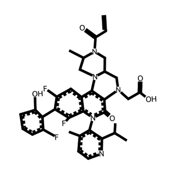 C=CC(=O)N1CC2CN(CC(=O)O)c3c(c4cc(F)c(-c5c(O)cccc5F)c(F)c4n(-c4c(C)ccnc4C(C)C)c3=O)N2CC1C